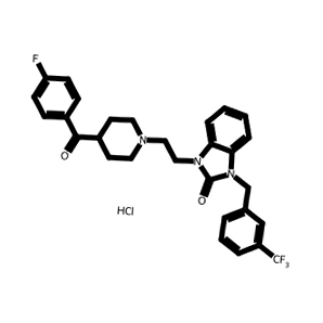 Cl.O=C(c1ccc(F)cc1)C1CCN(CCn2c(=O)n(Cc3cccc(C(F)(F)F)c3)c3ccccc32)CC1